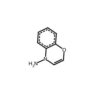 NN1C=COc2ccccc21